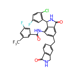 O=C(Nc1cc(Cc2ccc3c(c2)CNC3=O)cc2c1C(c1cc(F)ccc1Cl)NC2=O)c1cc(F)cc(C(F)(F)F)c1